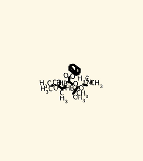 CCC(C)(BCC(BCC(C)C(=O)OC(C)(C)C)C(=O)OC12CC3CC(CC(C3)C1)C2)C(=O)OCCN(C)C